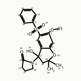 CCOc1cc2c(cc1S(=O)(=O)c1ccccc1)C(O)(N1CCCC1=O)CC(C)(C)O2